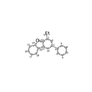 CCc1cc(-c2ccccc2)cc2c1oc1ccccc12